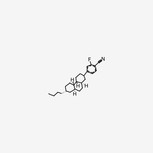 CCCC[C@@H]1CC[C@H]2[C@@H](CC[C@@H]3CC(c4ccc(C#N)c(F)c4)CC[C@H]32)C1